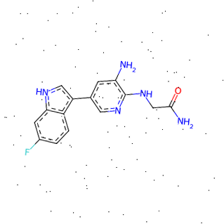 NC(=O)CNc1ncc(-c2c[nH]c3cc(F)ccc23)cc1N